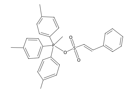 Cc1ccc(P(C)(OS(=O)(=O)C=Cc2ccccc2)(c2ccc(C)cc2)c2ccc(C)cc2)cc1